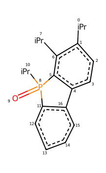 CC(C)c1ccc2c(c1C(C)C)P(=O)(C(C)C)c1ccccc1-2